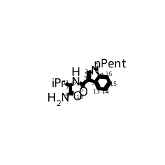 CCCCCn1cc(C(=O)NC(C(N)=O)C(C)C)c2ccccc21